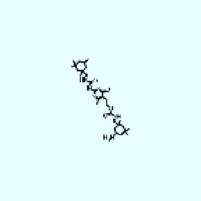 Cc1[nH]c(NC(=O)NCC2(C)CC(C)CC(C)(C)C2)nc(=O)c1CCOC(=O)NCC1(C)CC(N)CC(C)(C)C1